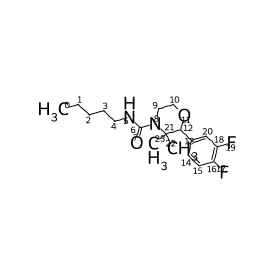 CCCCCNC(=O)N1CCOC(c2ccc(F)c(F)c2)C1(C)C